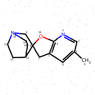 Cc1cnc2c(c1)CC1(CN3CCC1CC3)O2